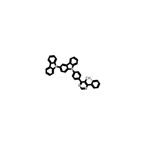 Cc1c(-c2ccccc2)ncnc1-c1ccc(-n2c3ccccc3c3cc(-n4c5ccccc5c5ccccc54)ccc32)cc1